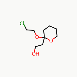 OCCC1(OCCCl)CCCCO1